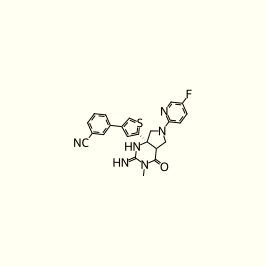 CN1C(=N)N[C@@]2(c3cc(-c4cccc(C#N)c4)cs3)CN(c3ccc(F)cn3)CC2C1=O